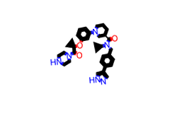 O=C([C@@H]1CCCN(c2cccc(OC3(C(=O)N4CCNCC4)CC3)c2)C1)N(Cc1ccc(-c2cn[nH]c2)cc1)C1CC1